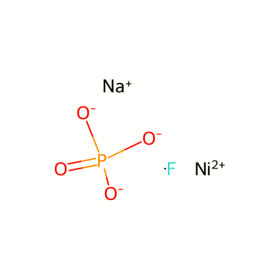 O=P([O-])([O-])[O-].[F].[Na+].[Ni+2]